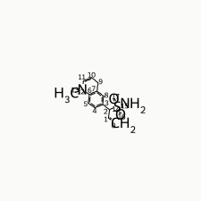 C=CC(c1ccc2c(c1)CC=CN2C)S(N)(=O)=O